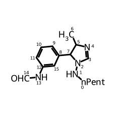 CCCCCNN1C=NC(C)C1c1cccc(NC=O)c1